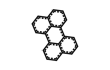 [c]1ccc2c3cccc4cc[c]c(c5cccc1c52)c43